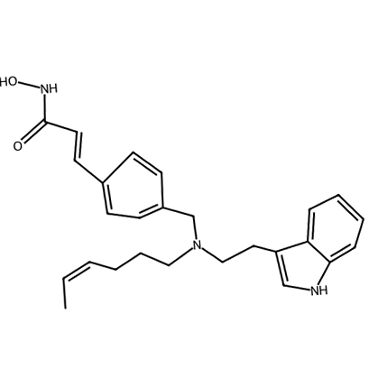 C/C=C\CCCN(CCc1c[nH]c2ccccc12)Cc1ccc(/C=C/C(=O)NO)cc1